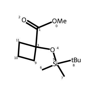 COC(=O)C1(O[Si](C)(C)C(C)(C)C)CCC1